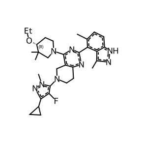 CCO[C@@H]1CCN(c2nc(-c3c(C)ccc4[nH]nc(C)c34)nc3c2CN(c2c(F)c(C4CC4)nn2C)CC3)CC1(C)C